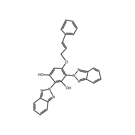 Oc1cc(OC/C=C/c2ccccc2)c(-n2nc3ccccc3n2)c(O)c1-n1nc2ccccc2n1